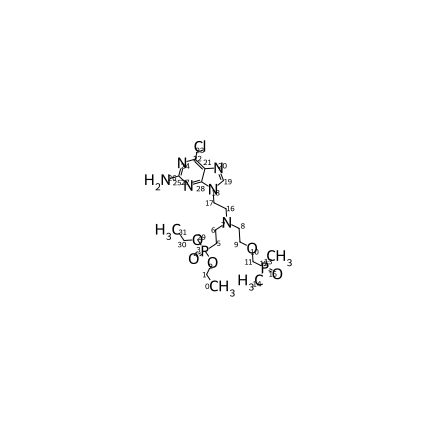 CCOP(=O)(CCN(CCOCP(C)(C)=O)CCn1cnc2c(Cl)nc(N)nc21)OCC